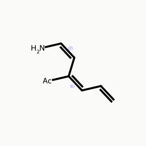 C=C/C=C(\C=C/N)C(C)=O